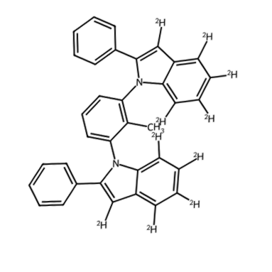 [2H]c1c([2H])c([2H])c2c(c1[2H])c([2H])c(-c1ccccc1)n2-c1cccc(-n2c(-c3ccccc3)c([2H])c3c([2H])c([2H])c([2H])c([2H])c32)c1C